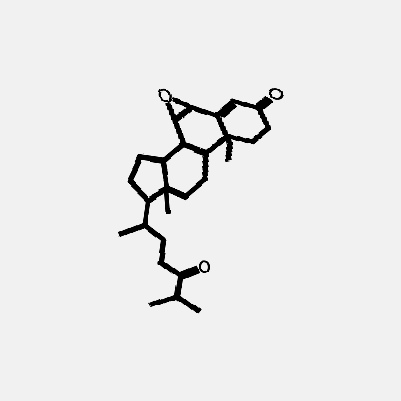 CC(C)C(=O)CCC(C)C1CCC2C3C4OC4C4=CC(=O)CCC4(C)C3CCC12C